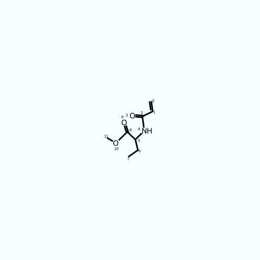 C=CC(=O)NC(CC)C(=O)OC